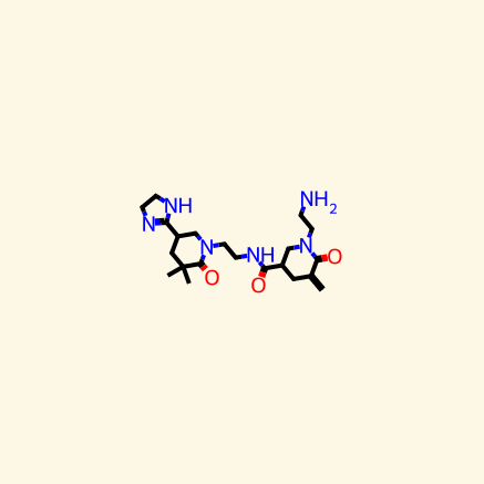 C=C1CC(C(=O)NCCN2CC(C3=NCCN3)CC(C)(C)C2=O)CN(CCN)C1=O